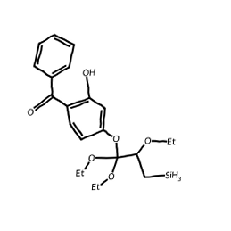 CCOC(C[SiH3])C(OCC)(OCC)Oc1ccc(C(=O)c2ccccc2)c(O)c1